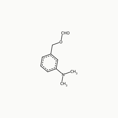 CN(C)c1cccc(COC=O)c1